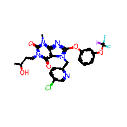 CC(O)CCn1c(=O)c2c(nc(Oc3cccc(OC(F)(F)I)c3)n2Cc2ccc(Cl)cn2)n(C)c1=O